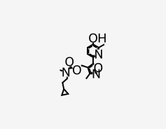 Cc1nc(-c2onc(C)c2COC(=O)N(C)CCC2CC2)ccc1O